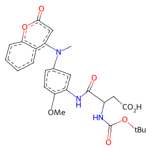 COc1ccc(N(C)c2cc(=O)oc3ccccc23)cc1NC(=O)C(CC(=O)O)NC(=O)OC(C)(C)C